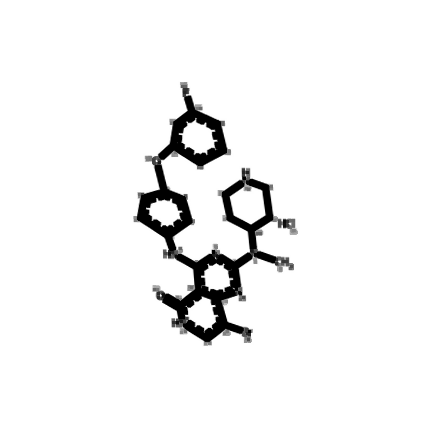 CN(c1nc(Nc2ccc(Oc3cccc(F)c3)cc2)c2c(=O)[nH]cc(Br)c2n1)C1CCNCC1.Cl